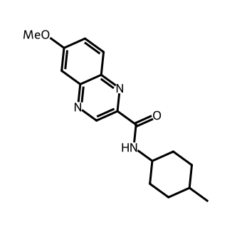 COc1ccc2nc(C(=O)NC3CCC(C)CC3)cnc2c1